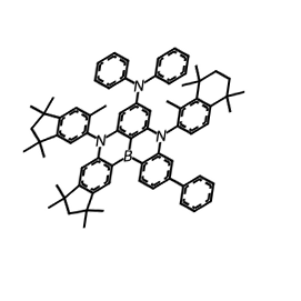 Cc1cc2c(cc1N1c3cc4c(cc3B3c5ccc(-c6ccccc6)cc5N(c5ccc6c(c5C)C(C)(C)CCC6(C)C)c5cc(N(c6ccccc6)c6ccccc6)cc1c53)C(C)(C)CC4(C)C)C(C)(C)CC2(C)C